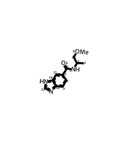 COCC(C)NC(=O)c1ccc2nc[nH]c2c1